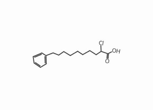 O=C(O)C(Cl)CCCCCCCCc1ccccc1